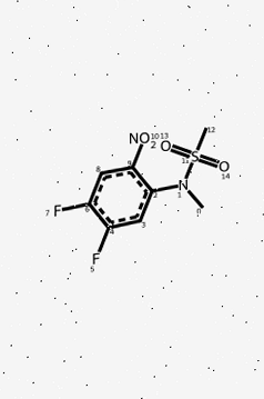 CN(c1cc(F)c(F)cc1[N+](=O)[O-])S(C)(=O)=O